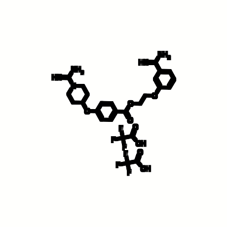 N=C(N)c1cccc(OCCOC(=O)c2ccc(OC3CCN(C(=N)N)CC3)cc2)c1.O=C(O)C(F)(F)F.O=C(O)C(F)(F)F